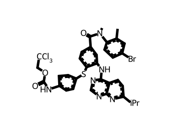 Cc1cc(Br)ccc1N(C)C(=O)c1ccc(Sc2ccc(NC(=O)OCC(Cl)(Cl)Cl)cc2)c(Nc2ncnc3nc(C(C)C)ccc23)c1